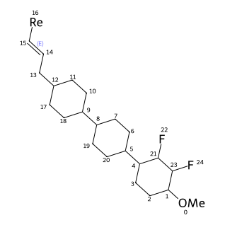 COC1CCC(C2CCC(C3CCC(C/C=[CH]/[Re])CC3)CC2)C(F)C1F